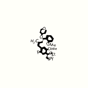 CCO[C@@H](CC(C)C)c1cc(F)c(CC(C)C[C@H](OC2CCOCC2)c2ccccc2OC)cc1OC